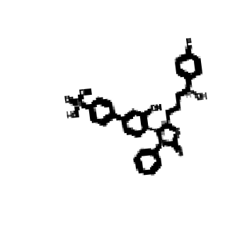 O=P(O)(O)c1ccc(-c2ccc([C@@H]3[C@@H](CCC[C@@H](O)c4ccc(F)cc4)SC(=S)N3c3ccccc3)c(O)c2)cc1